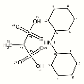 C1CCC(NC2CCCCC2)CC1.CC(S(=O)(=O)O)S(=O)(=O)O